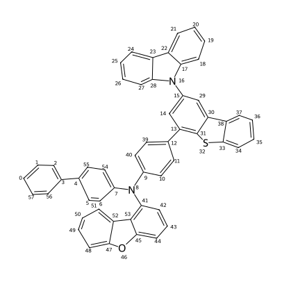 c1ccc(-c2ccc(N(c3ccc(-c4cc(-n5c6ccccc6c6ccccc65)cc5c4sc4ccccc45)cc3)c3cccc4oc5ccccc5c34)cc2)cc1